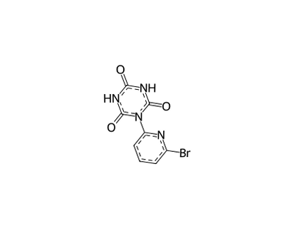 O=c1[nH]c(=O)n(-c2cccc(Br)n2)c(=O)[nH]1